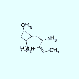 C/C=C(N)\C(N)=C/C1C(C)CC1C